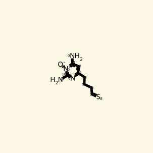 Nc1cc(CCCC=S)nc(N)[n+]1[O-]